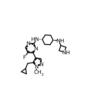 Cn1ncc(-c2nc(N[C@H]3CC[C@H](NC4CNC4)CC3)ncc2F)c1CC1CC1